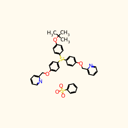 CC(C)(C)Oc1ccc([S+](c2ccc(OCc3ccccn3)cc2)c2ccc(OCc3ccccn3)cc2)cc1.O=S(=O)([O-])c1ccccc1